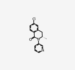 C[C@H]1Cc2cc(Cl)ccc2C(=O)N1c1cccnc1